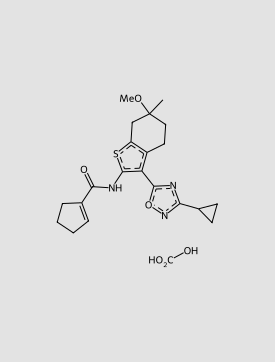 COC1(C)CCc2c(sc(NC(=O)C3=CCCC3)c2-c2nc(C3CC3)no2)C1.O=C(O)O